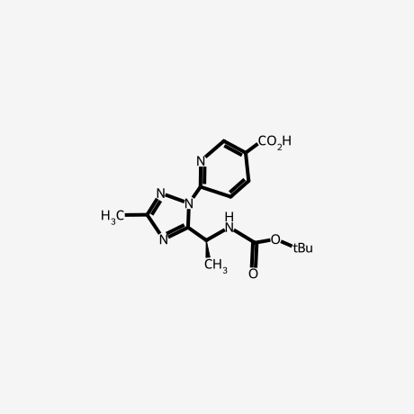 Cc1nc([C@H](C)NC(=O)OC(C)(C)C)n(-c2ccc(C(=O)O)cn2)n1